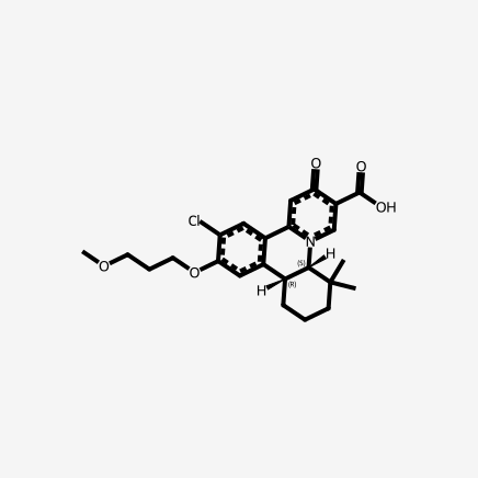 COCCCOc1cc2c(cc1Cl)-c1cc(=O)c(C(=O)O)cn1[C@H]1[C@@H]2CCCC1(C)C